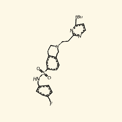 CC(C)(C)c1ccnc(CCN2CCc3cc(S(=O)(=O)Nc4ccc(F)cc4)ccc3C2)n1